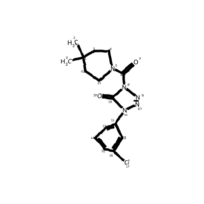 CC1(C)CCN(C(=O)n2nnn(-c3cccc(Cl)c3)c2=O)CC1